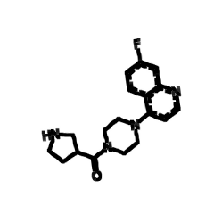 O=C(C1CCNC1)N1CCN(c2ccnc3cc(F)ccc23)CC1